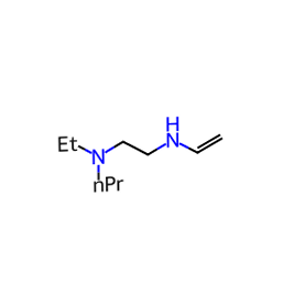 C=CNCCN(CC)CCC